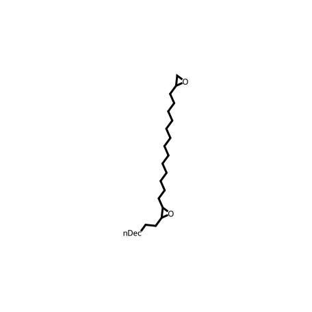 CCCCCCCCCCCCC1OC1CCCCCCCCCCCCCC1CO1